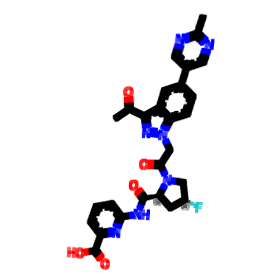 CC(=O)c1nn(CC(=O)N2C[C@H](F)C[C@H]2C(=O)Nc2cccc(C(=O)O)n2)c2ccc(-c3cnc(C)nc3)cc12